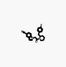 N#Cc1ccc2c(ccn2CC(=O)N2CCCCC2Cc2ccc(F)cc2)c1